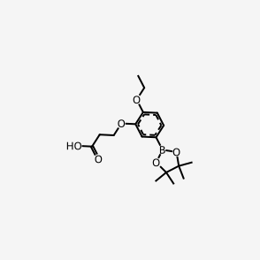 CCOc1ccc(B2OC(C)(C)C(C)(C)O2)cc1OCCC(=O)O